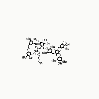 CC(C)(C)c1cc(CSCc2cc(C(C)(C)C)c(O)c(C(C)(C)C)c2)cc(C(C)(C)C)c1O.CC(C)CCCCCOC(=O)C(S)Cc1cc(C(C)(C)C)c(O)c(C(C)(C)C)c1.Cc1c(Cc2cc(C(C)(C)C)c(O)c(C(C)(C)C)c2)c(C)c(Cc2cc(C(C)(C)C)c(O)c(C(C)(C)C)c2)c(C)c1Cc1cc(C(C)(C)C)c(O)c(C(C)(C)C)c1